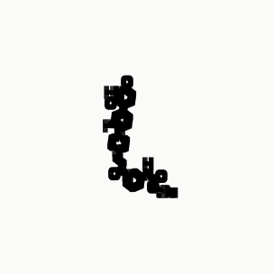 CC(C)(C)OC(=O)NC1CCCN(C(=O)CCN2CCN(c3ccc(C4CCC(=O)NC4=O)cc3F)CC2)C1